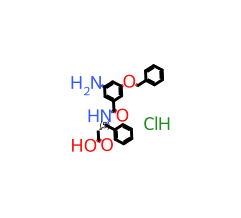 Cl.Nc1cc(OCc2ccccc2)cc(C(=O)N[C@@H](CC(=O)O)c2ccccc2)c1